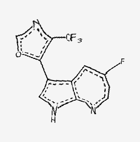 Fc1cnc2[nH]cc(-c3ocnc3C(F)(F)F)c2c1